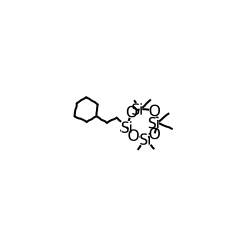 C[Si]1(C)O[Si](C)(C)O[Si](C)(CCC2CCCCC2)O[Si](C)(C)O1